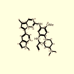 C=CC(=O)Nc1cc(Nc2ncc3c(C)cc(-c4cnc5c(ccn5C)c4)n3n2)c(OC)cc1N1CCC(N(C)C)CC1